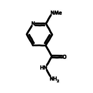 CNc1cc(C(=O)NN)ccn1